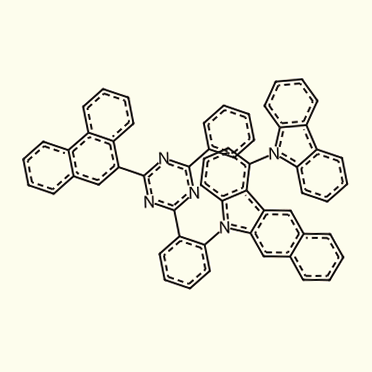 c1ccc(-c2nc(-c3ccccc3-n3c4cc5ccccc5cc4c4c(-n5c6ccccc6c6ccccc65)cccc43)nc(-c3cc4ccccc4c4ccccc34)n2)cc1